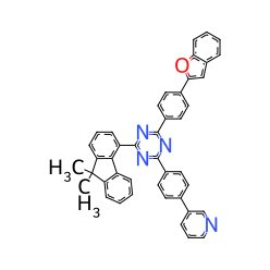 CC1(C)c2ccccc2-c2c(-c3nc(-c4ccc(-c5cccnc5)cc4)nc(-c4ccc(-c5cc6ccccc6o5)cc4)n3)cccc21